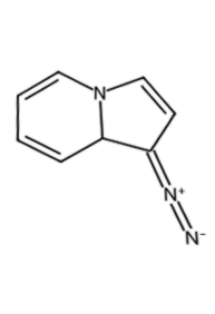 [N-]=[N+]=C1C=CN2C=CC=CC12